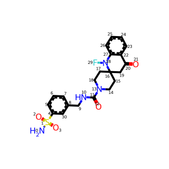 NS(=O)(=O)c1cccc(CNC(=O)N2CCC3(CC2)CC(=O)c2ccccc2N3F)c1